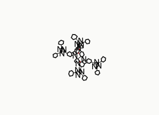 FC(F)(F)c1ccc(-n2c3ccc(-c4nc(-c5ccccc5)nc(-c5ccccc5)n4)cc3c3cc(-c4nc(-c5ccccc5)nc(-c5ccccc5)n4)ccc32)c(-c2cnccc2-n2c3ccc(-c4nc(-c5ccccc5)nc(-c5ccccc5)n4)cc3c3cc(-c4nc(-c5ccccc5)nc(-c5ccccc5)n4)ccc32)c1